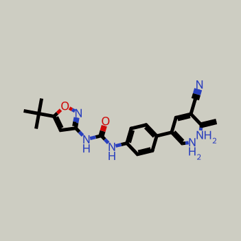 C=C(N)/C(C#N)=C\C(=C/N)c1ccc(NC(=O)Nc2cc(C(C)(C)C)on2)cc1